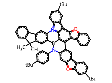 CC(C)(C)c1ccc(N2B3c4cc5c(cc4-n4c6ccc(C(C)(C)C)cc6c6c7oc8ccccc8c7c(c3c64)-c3cc4c(cc32)oc2cc(C(C)(C)C)ccc24)-c2ccccc2C5(C)C)cc1